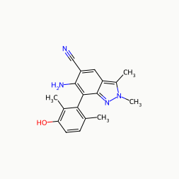 Cc1ccc(O)c(C)c1-c1c(N)c(C#N)cc2c(C)n(C)nc12